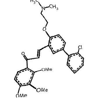 COc1ccc(C(=O)C=Cc2cc(-c3ccccc3Cl)ccc2OCCN(C)C)c(OC)c1OC